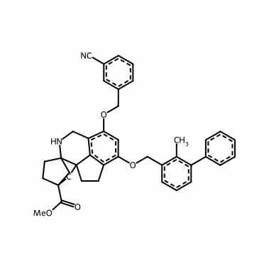 COC(=O)C12CCC3(C1)NCc1c(OCc4cccc(C#N)c4)cc(OCc4cccc(-c5ccccc5)c4C)c4c1C3(CC4)C2